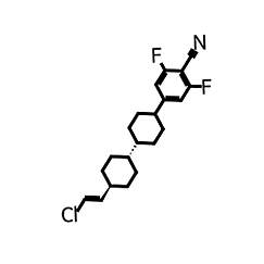 N#Cc1c(F)cc(C2CCC([C@H]3CC[C@H](/C=C/Cl)CC3)CC2)cc1F